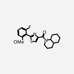 COc1cccc(F)c1-c1nc(C(=O)N2CCCC3CCCCC32)cs1